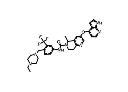 CCN1CCN(Cc2ccc(NC(=O)N3CCc4ncc(Oc5ccnc6[nH]ccc56)cc4C3C)cc2C(F)(F)F)CC1